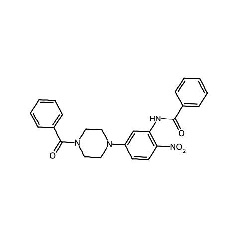 O=C(Nc1cc(N2CCN(C(=O)c3ccccc3)CC2)ccc1[N+](=O)[O-])c1ccccc1